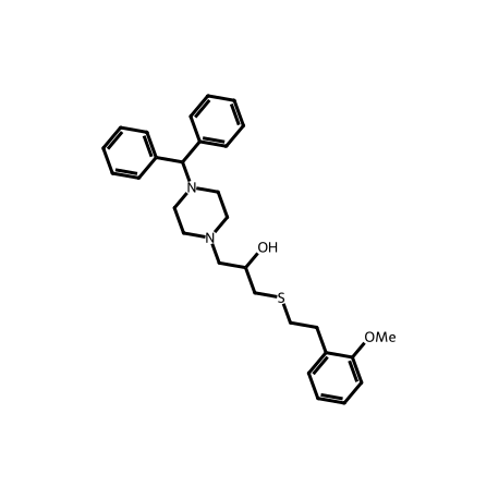 COc1ccccc1CCSCC(O)CN1CCN(C(c2ccccc2)c2ccccc2)CC1